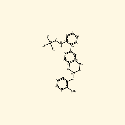 Cc1cccnc1C[C@H]1COc2cc(-c3ccccc3NSC(F)(F)F)ccc2C1